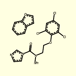 CCCN(CCOc1c(Cl)cc(Cl)cc1Cl)C(=O)n1ccnc1.c1ccc2occc2c1